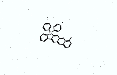 Cc1cccc2cc3cc4c(cc3cc12)[Si](c1ccccc1)(c1ccccc1)c1ccccc1-4